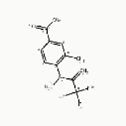 C=C(N(C)c1ccc([N+](=O)[O-])cc1C)C(F)(F)F